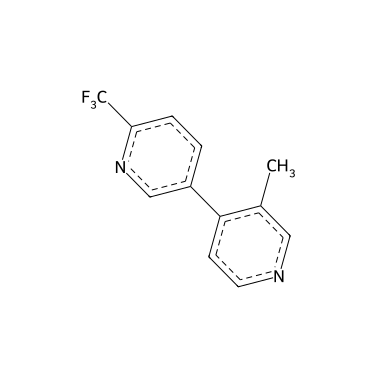 Cc1cnccc1-c1ccc(C(F)(F)F)nc1